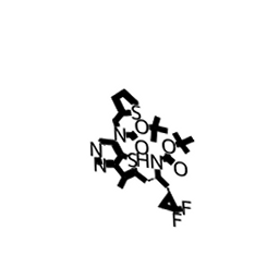 Cc1c(C[C@@H](C[C@H]2CC2(F)F)NC(=O)OC(C)(C)C)sc2c(N(Cc3cccs3)C(=O)OC(C)(C)C)cnnc12